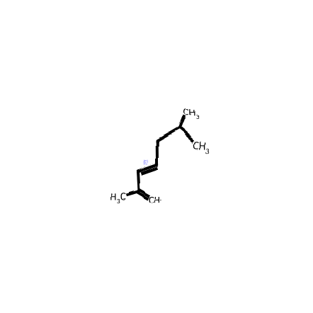 [CH]=C(C)/C=C/CC(C)C